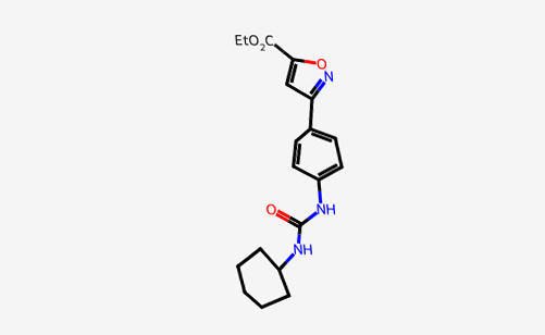 CCOC(=O)c1cc(-c2ccc(NC(=O)NC3CCCCC3)cc2)no1